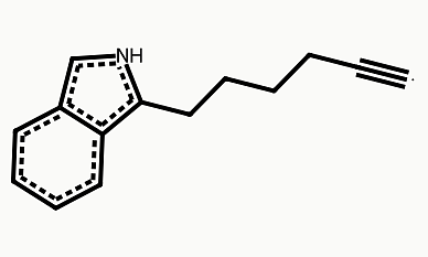 [C]#CCCCCc1[nH]cc2ccccc12